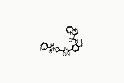 O=C(Nc1cc(-c2noc(C3CN(S(=O)(=O)c4cccnc4)C3)n2)ccc1F)c1cnc2ccccn12